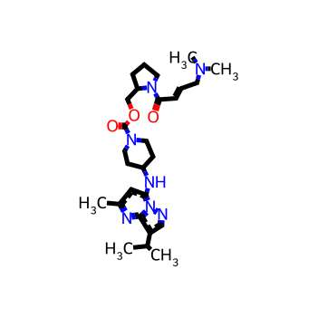 Cc1cc(NC2CCN(C(=O)OCC3CCCN3C(=O)/C=C/CN(C)C)CC2)n2ncc(C(C)C)c2n1